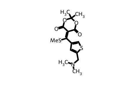 CSC(=C1C(=O)OC(C)(C)OC1=O)c1csc(CN(C)C)c1